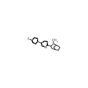 CN1C2CCC(C2)CC1c1ccc(-c2ccc(F)cc2)cn1